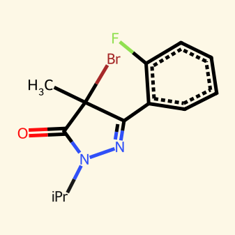 CC(C)N1N=C(c2ccccc2F)C(C)(Br)C1=O